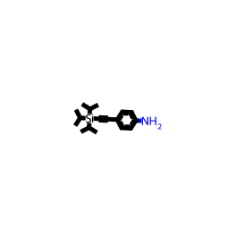 CC(C)[Si](C#Cc1ccc(N)cc1)(C(C)C)C(C)C